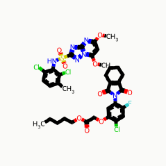 CCCCCOC(=O)COc1cc(N2C(=O)C3=C(CCCC3)C2=O)c(F)cc1Cl.COc1cc(OC)n2nc(S(=O)(=O)Nc3c(Cl)ccc(C)c3Cl)nc2n1